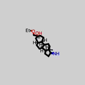 CCOC[C@@]1(O)CC[C@H]2[C@@H](CC[C@@H]3[C@@H]2CC[C@]2(C)C(=N)CC[C@@H]32)C1